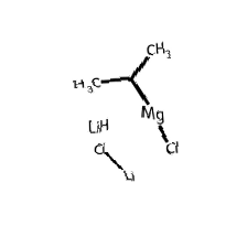 C[CH](C)[Mg][Cl].[LiH].[Li][Cl]